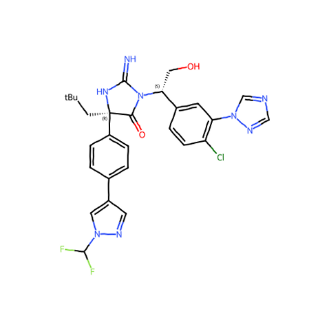 CC(C)(C)C[C@]1(c2ccc(-c3cnn(C(F)F)c3)cc2)NC(=N)N([C@H](CO)c2ccc(Cl)c(-n3cncn3)c2)C1=O